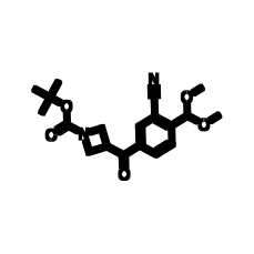 COC(OC)c1ccc(C(=O)C2CN(C(=O)OC(C)(C)C)C2)cc1C#N